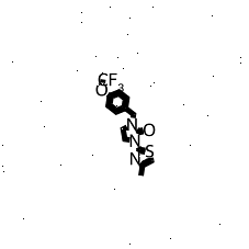 Cc1csc(N2CCN(Cc3ccc(OC(F)(F)F)cc3)C2=O)n1